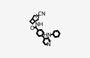 N#CN1CC2CC[C@]2(NC(=O)c2ccc(-c3ccncc3Nc3ccccc3)cc2)C1